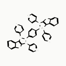 c1ccc2c3c(sc2c1)N(c1ccncc1)B(c1ccc(B2N(c4ccncc4)c4sc5ccccc5c4N2c2ccncc2)cc1)N3c1ccncc1